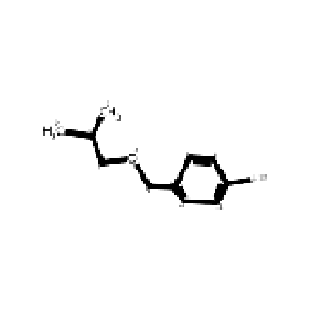 CC(C)COCc1ccc(F)cc1